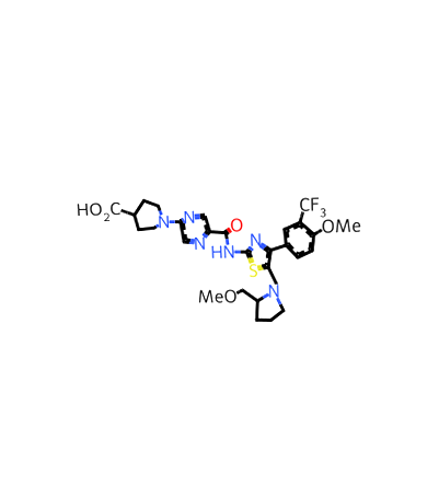 COCC1CCCN1Cc1sc(NC(=O)c2cnc(N3CCC(C(=O)O)CC3)cn2)nc1-c1ccc(OC)c(C(F)(F)F)c1